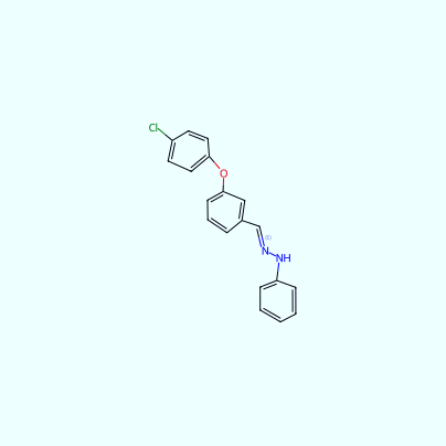 Clc1ccc(Oc2cccc(/C=N/Nc3ccccc3)c2)cc1